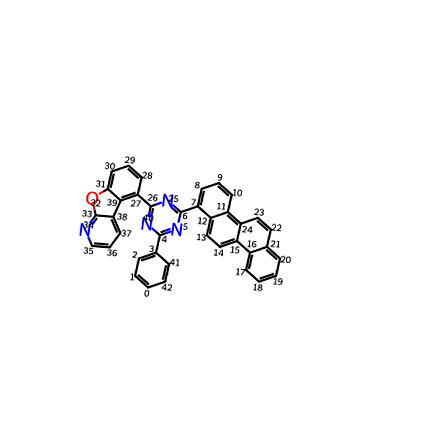 c1ccc(-c2nc(-c3cccc4c3ccc3c5ccccc5ccc43)nc(-c3cccc4oc5ncccc5c34)n2)cc1